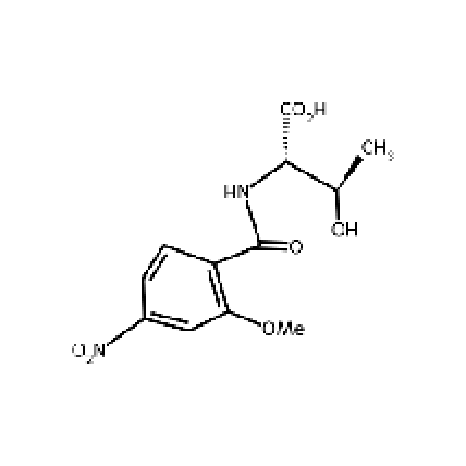 COc1cc([N+](=O)[O-])ccc1C(=O)N[C@H](C(=O)O)[C@@H](C)O